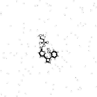 CCCS(=O)(=O)ON=C1C=CC(=C2C=NC2c2ccccc2C)S1